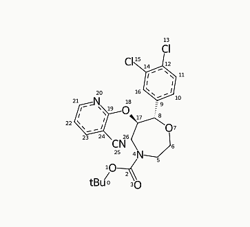 CC(C)(C)OC(=O)N1CCO[C@@H](c2ccc(Cl)c(Cl)c2)[C@H](Oc2ncccc2C#N)C1